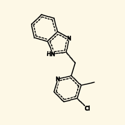 Cc1c(Cl)ccnc1Cc1nc2ccccc2[nH]1